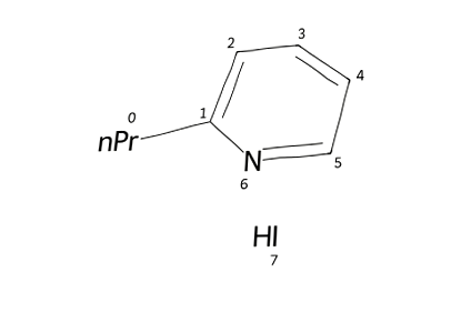 CCCc1ccccn1.I